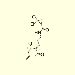 C=C/C=C(Cl)\C(=C/CCNC(=O)C1CC1(Cl)Cl)C(C)=O